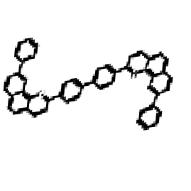 c1ccc(-c2ccc3ccc4ccc(-c5ccc(-c6ccc(-c7ccc8ccc9ccc(-c%10ccccc%10)cc9c8n7)cc6)cc5)nc4c3c2)cc1